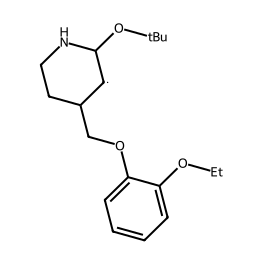 CCOc1ccccc1OCC1[CH]C(OC(C)(C)C)NCC1